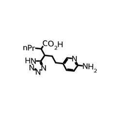 CCCC(C(=O)O)C(CCc1ccc(N)nc1)c1nnn[nH]1